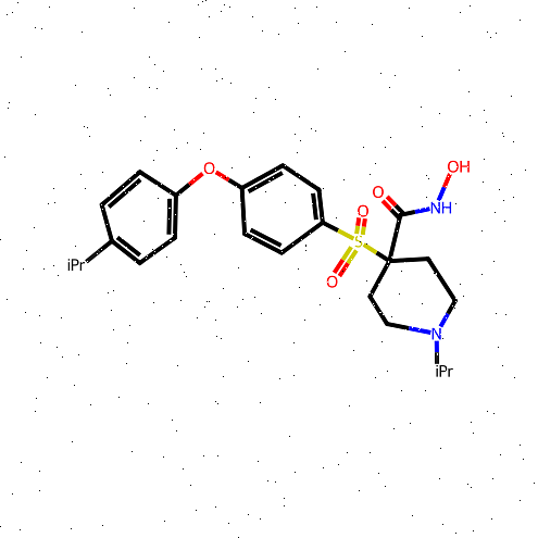 CC(C)c1ccc(Oc2ccc(S(=O)(=O)C3(C(=O)NO)CCN(C(C)C)CC3)cc2)cc1